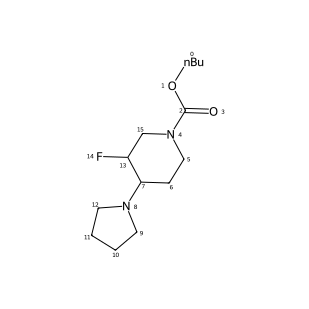 CCCCOC(=O)N1CCC(N2CCCC2)C(F)C1